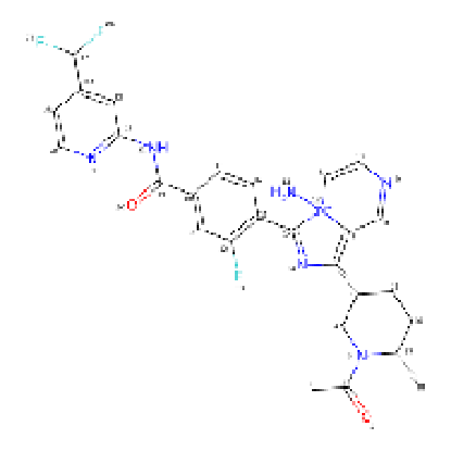 CC(=O)N1C[C@H](C2=C3C=NC=C[N+]3(N)C(c3ccc(C(=O)Nc4cc(C(F)F)ccn4)cc3F)=N2)CC[C@@H]1C